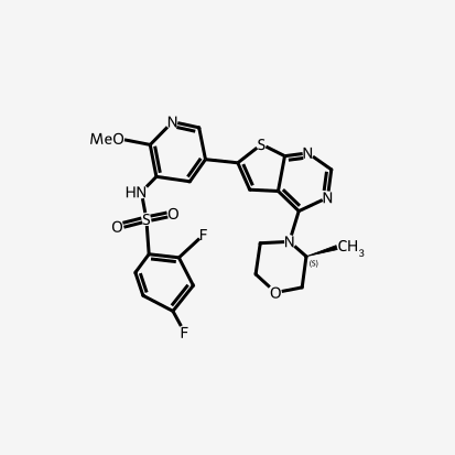 COc1ncc(-c2cc3c(N4CCOC[C@@H]4C)ncnc3s2)cc1NS(=O)(=O)c1ccc(F)cc1F